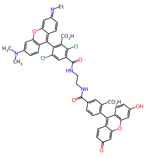 CC/N=c1\ccc2c(-c3c(Cl)cc(C(=O)NCCNC(=O)c4ccc(-c5c6ccc(=O)cc-6oc6cc(O)ccc56)c(C(=O)O)c4)c(Cl)c3C(=O)O)c3ccc(N(C)C)cc3oc-2c1